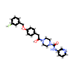 O=C(Cc1ccc(OCc2cccc(F)c2)cc1)N1CCN(C(=O)Nc2cccnc2)CC1